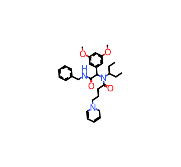 CCC(CC)N(C(=O)CCCN1C=CC=CC1)C(C(=O)NCc1ccccc1)c1cc(OC)cc(OC)c1